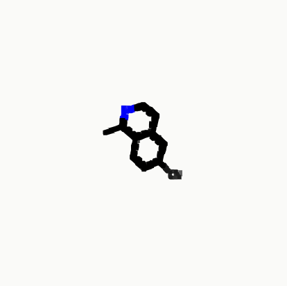 Cc1nccc2cc(C#N)ccc12